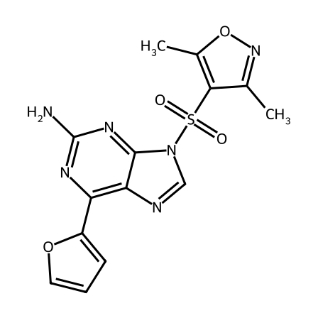 Cc1noc(C)c1S(=O)(=O)n1cnc2c(-c3ccco3)nc(N)nc21